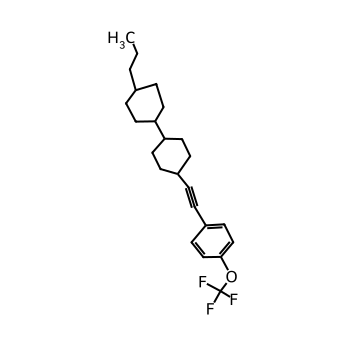 CCCC1CCC(C2CCC(C#Cc3ccc(OC(F)(F)F)cc3)CC2)CC1